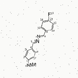 CNc1ccc(/C=N/N=C/c2ccc(F)cc2)cc1